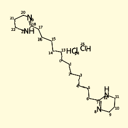 C(CCCCCCC1=NCCCN1)CCCCCC1=NCCCN1.Cl.Cl